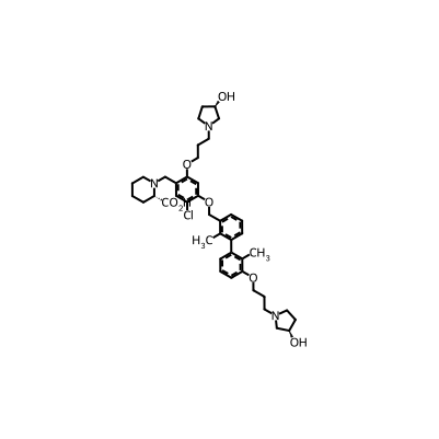 Cc1c(COc2cc(OCCCN3CC[C@@H](O)C3)c(CN3CCCC[C@H]3C(=O)O)cc2Cl)cccc1-c1cccc(OCCCN2CC[C@@H](O)C2)c1C